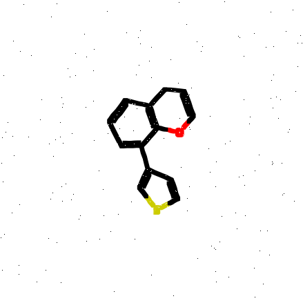 C1=COc2c(cccc2-c2ccsc2)C1